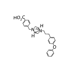 O=C(O)c1ccc(CN2C[C@@H]3C[C@H]2CN3CCCc2ccc(Oc3ccccc3)cc2)cc1